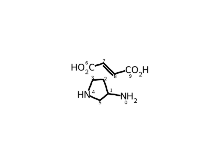 NC1CCNC1.O=C(O)/C=C/C(=O)O